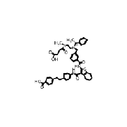 C[C@H](c1ccccc1)N(CCN(C)C(=O)CCC(=O)O)Cc1cccc(C(=O)Nc2sc3c(c2C(=O)Nc2ccc(CCc4ccc(C(=O)O)cc4)cc2)CCCC3)c1